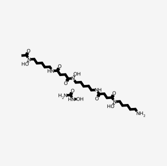 CC(=O)N(O)CCCCCNC(=O)CCC(=O)N(O)CCCCCNC(=O)CCC(=O)N(O)CCCCCN.NC(=O)NO